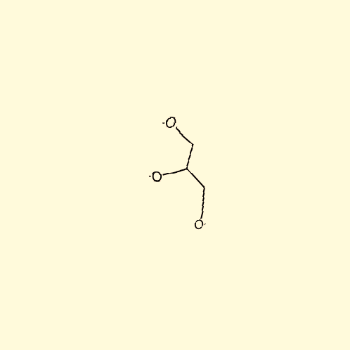 [O]CC([O])C[O]